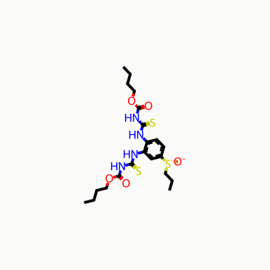 CCCCOC(=O)NC(=S)Nc1ccc([S+]([O-])CCC)cc1NC(=S)NC(=O)OCCCC